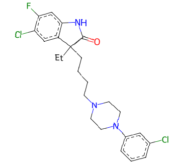 CCC1(CCCCN2CCN(c3cccc(Cl)c3)CC2)C(=O)Nc2cc(F)c(Cl)cc21